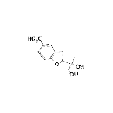 CC(O)(CO)C1Cc2cc(C(=O)O)ccc2O1